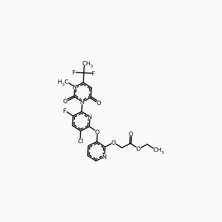 CCOC(=O)COc1ncccc1Oc1nc(-n2c(=O)cc(C(C)(F)F)n(C)c2=O)c(F)cc1Cl